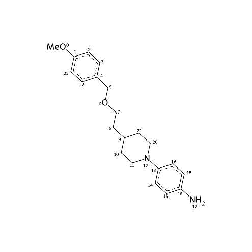 COc1ccc(COCCC2CCN(c3ccc(N)cc3)CC2)cc1